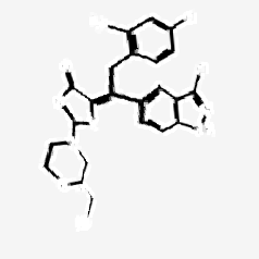 O=C1N=C(N2CCO[C@H](CO)C2)SC1=C(Cc1ccc(Cl)cc1C(F)(F)F)c1ccc2[nH]nc(Cl)c2c1